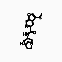 CSc1coc2cnc(C(=O)N[C@@H]3C[C@@H]4CCN(C4)C3)cc12